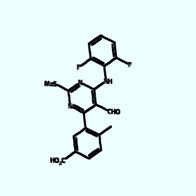 CSc1nc(Nc2c(F)cccc2F)c(C=O)c(-c2cc(C(=O)O)ccc2C)n1